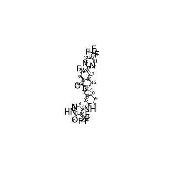 O=c1[nH]ncc(N[C@H]2CCC[C@H](Cn3ccc4cc(-c5ncc(C(F)(F)F)cn5)c(F)cc4c3=O)C2)c1C(F)(F)F